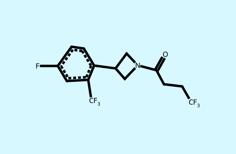 O=C(CCC(F)(F)F)N1CC(c2ccc(F)cc2C(F)(F)F)C1